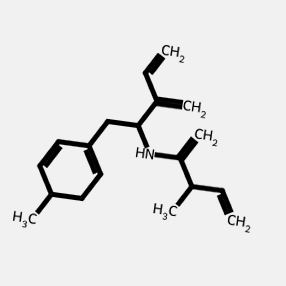 C=CC(=C)C(CC1=CCC(C)C=C1)NC(=C)C(C)C=C